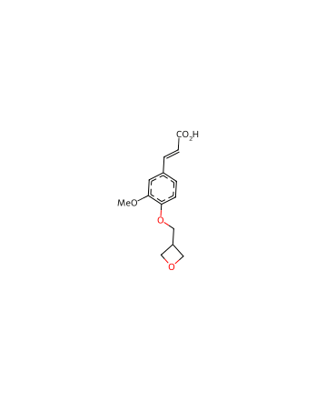 COc1cc(/C=C/C(=O)O)ccc1OCC1COC1